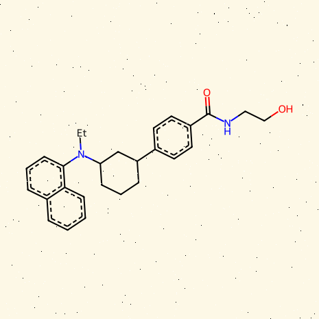 CCN(c1cccc2ccccc12)C1CCCC(c2ccc(C(=O)NCCO)cc2)C1